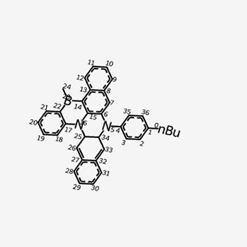 CCCCc1ccc(N2c3cc4ccccc4c4c3N(c3ccccc3B4C)C3C=c4ccccc4=CC32)cc1